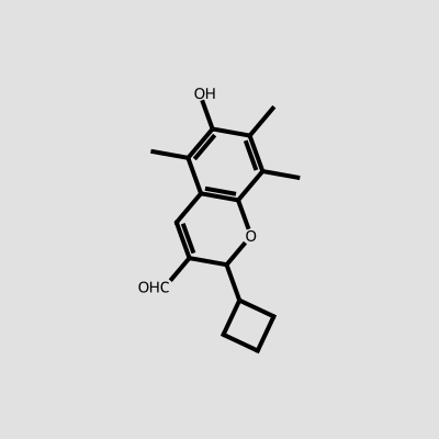 Cc1c(C)c2c(c(C)c1O)C=C(C=O)C(C1CCC1)O2